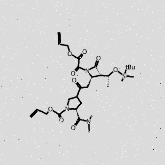 C=CCOC(=O)C(=O)N1C(=O)[C@H]([C@@H](C)O[Si](C)(C)C(C)(C)C)[C@H]1CC(=O)C1C[C@@H](C(=O)N(C)C)N(C(=O)OCC=C)C1